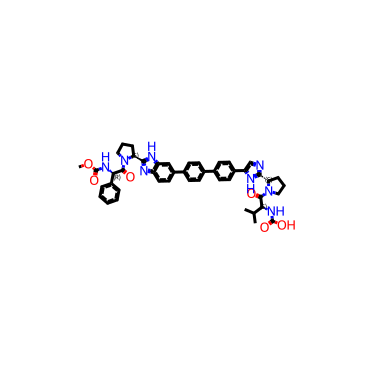 COC(=O)N[C@@H](C(=O)N1CCC[C@H]1c1nc2ccc(-c3ccc(-c4ccc(-c5cnc([C@@H]6CCCN6C(=O)[C@@H](NC(=O)O)C(C)C)[nH]5)cc4)cc3)cc2[nH]1)c1ccccc1